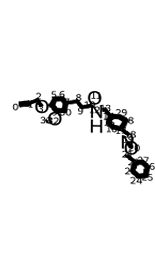 C#CCOc1ccc(CCC(=O)NCc2ccc(C=NOCc3ccccc3)cc2)cc1OC